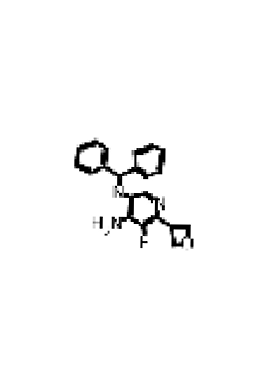 Nc1c(N=C(c2ccccc2)c2ccccc2)cnc(C2COC2)c1F